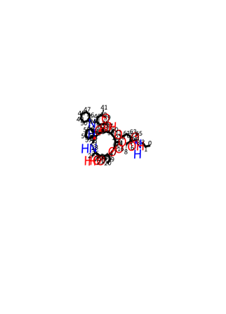 CCCNC[C@]1(O)[C@H](C)O[C@@H](OC2C(C)C(=O)OC(CC)C(C)(O)C(O)C(C)NCC(C)CC(C)(O)C(O[C@@H]3O[C@H](C)C[C@H](NC4CCCCC4)[C@H]3Oc3ccccc3)C2C)C[C@@]1(C)OC